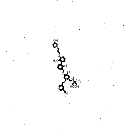 Cc1c(OCCCN2CCC(O)C2)cccc1-c1cccc(COc2cc(OCc3cncc(C#N)c3)c(CNC(C)(CO)CO)cc2Cl)c1Cl